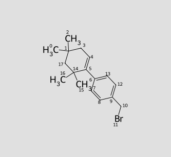 CC1(C)CC=C(c2ccc(CBr)cc2)C(C)(C)C1